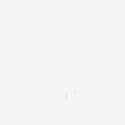 CCCCOCCOC([SiH3])(OC)OC